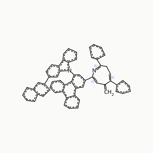 C=C1/C=C(c2cc(-n3c4ccccc4c4ccc(-c5ccc6ccccc6c5)cc43)c3c4ccccc4c4ccccc4c3c2)\N=C(\c2ccccc2)C/C=C\1c1ccccc1